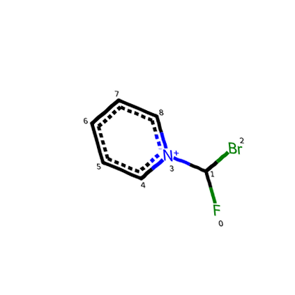 FC(Br)[n+]1ccccc1